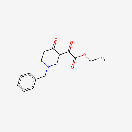 CCOC(=O)C(=O)C1CN(Cc2ccccc2)CCC1=O